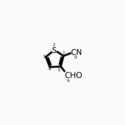 N#Cc1sccc1C=O